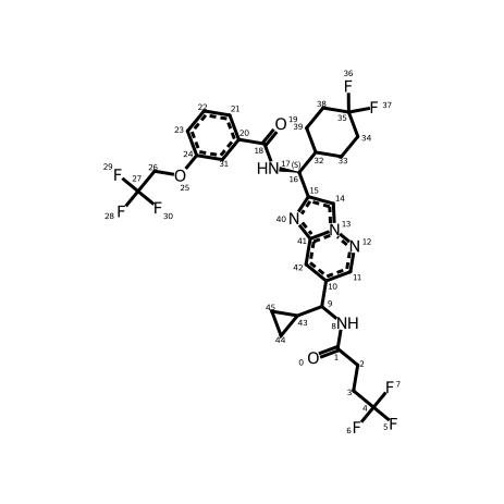 O=C(CCC(F)(F)F)NC(c1cnn2cc([C@@H](NC(=O)c3cccc(OCC(F)(F)F)c3)C3CCC(F)(F)CC3)nc2c1)C1CC1